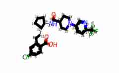 O=C(O)c1ccc(Cl)cc1CC[C@@H]1CCC[C@@H]1NC(=O)C1CCN(c2ccc(C(F)(F)F)nc2)CC1